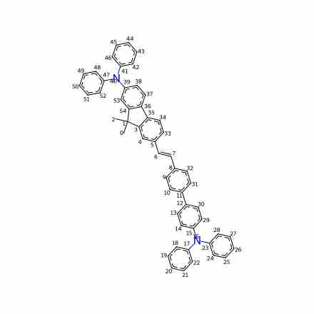 CC1(C)c2cc(/C=C/c3ccc(-c4ccc(N(c5ccccc5)c5ccccc5)cc4)cc3)ccc2-c2ccc(N(c3ccccc3)c3ccccc3)cc21